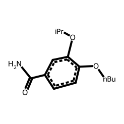 CCCCOc1ccc(C(N)=O)cc1OC(C)C